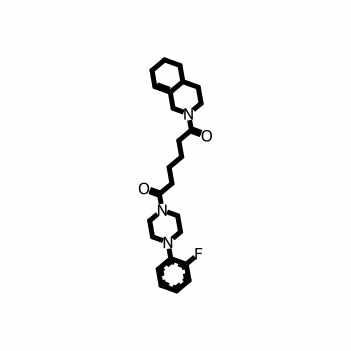 O=C(CCCCC(=O)N1CCC2CCCC=C2C1)N1CCN(c2ccccc2F)CC1